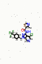 Cc1ncsc1C(=O)Nc1nn(Cc2ccc(C(F)(F)F)cc2)c2cncc(Cl)c12